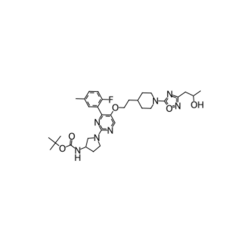 Cc1ccc(F)c(-c2nc(N3CCC(NC(=O)OC(C)(C)C)C3)ncc2OCCC2CCN(c3nc(CC(C)O)no3)CC2)c1